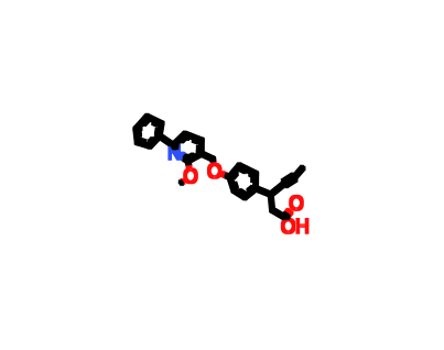 CC#CC(CC(=O)O)c1ccc(OCc2ccc(-c3ccccc3)nc2OC)cc1